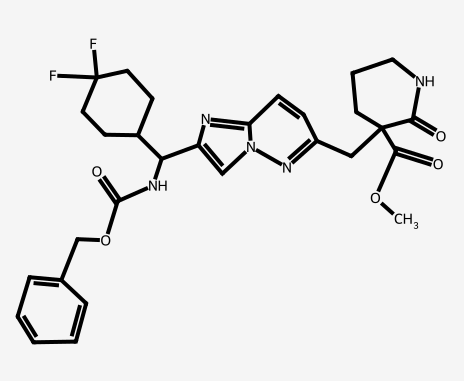 COC(=O)C1(Cc2ccc3nc(C(NC(=O)OCc4ccccc4)C4CCC(F)(F)CC4)cn3n2)CCCNC1=O